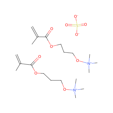 C=C(C)C(=O)OCCCO[N+](C)(C)C.C=C(C)C(=O)OCCCO[N+](C)(C)C.O=S(=O)([O-])[O-]